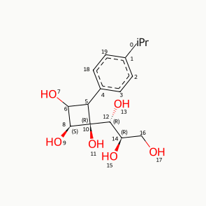 CC(C)c1ccc(C2C(O)[C@H](O)[C@@]2(O)[C@H](O)[C@H](O)CO)cc1